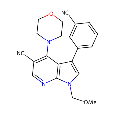 COCn1cc(-c2cccc(C#N)c2)c2c(N3CCOCC3)c(C#N)cnc21